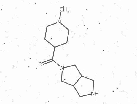 CN1CCC(C(=O)N2CC3CNCC3C2)CC1